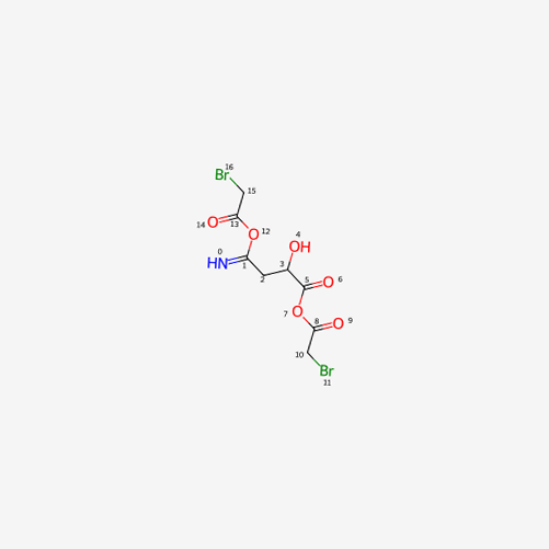 N=C(CC(O)C(=O)OC(=O)CBr)OC(=O)CBr